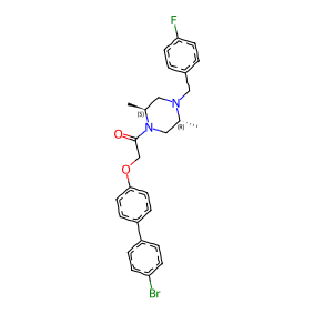 C[C@@H]1CN(C(=O)COc2ccc(-c3ccc(Br)cc3)cc2)[C@@H](C)CN1Cc1ccc(F)cc1